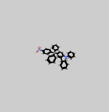 O=[N+]([O-])c1ccc([Si](c2ccccc2)(c2ccccc2)c2ccc3c(c2)c2ccccc2n3-c2ccccc2)cc1